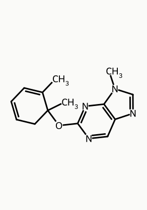 CC1=CC=CCC1(C)Oc1ncc2ncn(C)c2n1